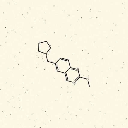 COc1ncc2cc(CN3CCCC3)ccc2n1